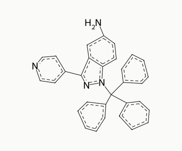 Nc1ccc2c(c1)c(-c1ccncc1)nn2C(c1ccccc1)(c1ccccc1)c1ccccc1